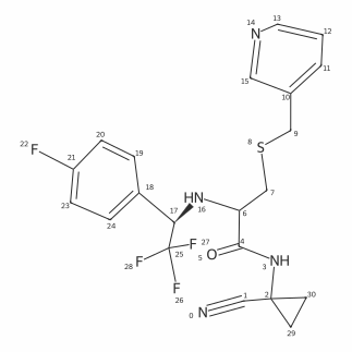 N#CC1(NC(=O)C(CSCc2cccnc2)N[C@H](c2ccc(F)cc2)C(F)(F)F)CC1